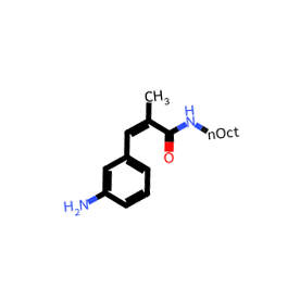 CCCCCCCCNC(=O)C(C)=Cc1cccc(N)c1